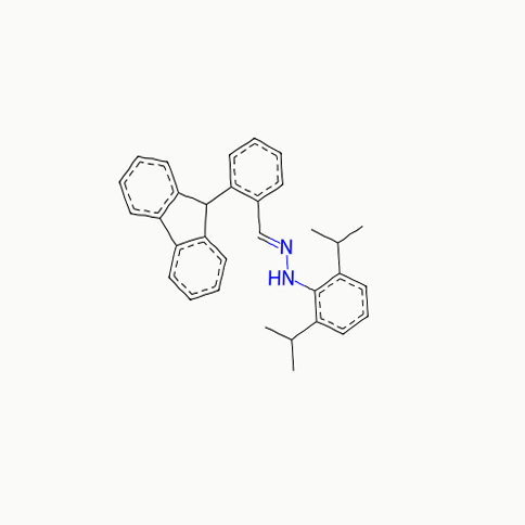 CC(C)c1cccc(C(C)C)c1NN=Cc1ccccc1C1c2ccccc2-c2ccccc21